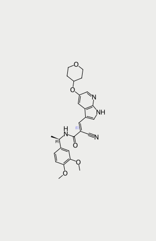 COc1ccc([C@@H](C)NC(=O)/C(C#N)=C/c2c[nH]c3ncc(OC4CCOCC4)cc23)cc1OC